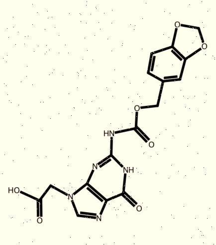 O=C(O)Cn1cnc2c(=O)[nH]c(NC(=O)OCc3ccc4c(c3)OCO4)nc21